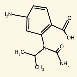 CC(C)N(C(N)=O)c1cc(N)ccc1C(=O)O